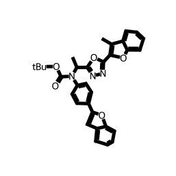 Cc1c(-c2nnc(C(C)N(C(=O)OC(C)(C)C)c3ccc(-c4cc5ccccc5o4)cc3)o2)oc2ccccc12